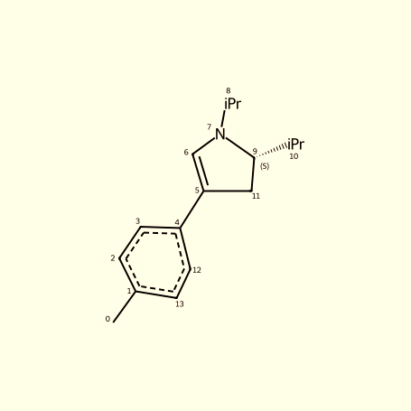 Cc1ccc(C2=CN(C(C)C)[C@H](C(C)C)C2)cc1